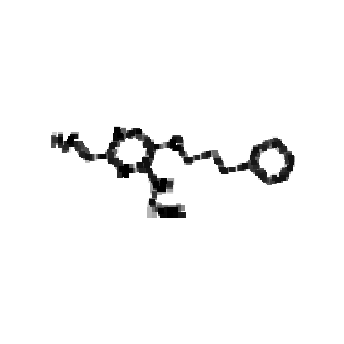 C=Cc1ncc(OCCCc2ccccc2)c(NC(C)CCC)n1